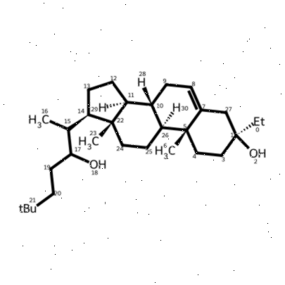 CC[C@]1(O)CC[C@@]2(C)C(=CC[C@H]3[C@@H]4CC[C@H](C(C)C(O)CCC(C)(C)C)[C@@]4(C)CC[C@@H]32)C1